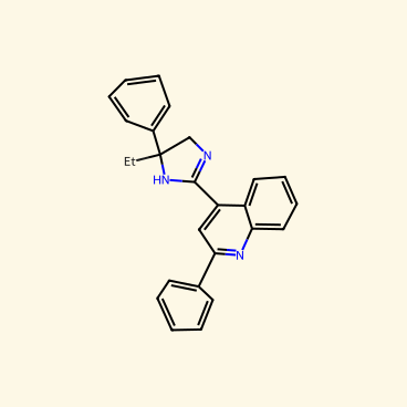 CCC1(c2ccccc2)CN=C(c2cc(-c3ccccc3)nc3ccccc23)N1